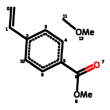 C=Cc1ccc(C(=O)OC)cc1.COC